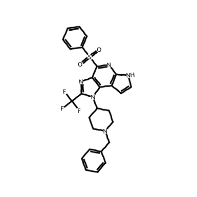 O=S(=O)(c1ccccc1)c1nc2[nH]ccc2c2c1nc(C(F)(F)F)n2C1CCN(Cc2ccccc2)CC1